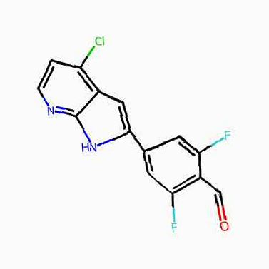 O=Cc1c(F)cc(-c2cc3c(Cl)ccnc3[nH]2)cc1F